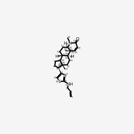 C=CCNc1nc([C@H]2CC[C@H]3[C@@H]4CC[C@H]5N(C)C(=O)C=C[C@]5(C)[C@H]4CC[C@]23C)cs1